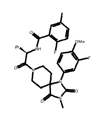 COc1ccc(N2C(=O)N(C)C(=O)C23CCN(C(=O)[C@H](NC(=O)c2cc(C)ccc2F)C(C)C)CC3)cc1F